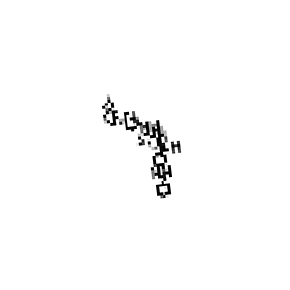 CC1CC2(CCCN(c3ccc(NC(=S)c4nnc(Nc5ccc6nn(-c7ccccc7)nc6c5)o4)cn3)C2)C1